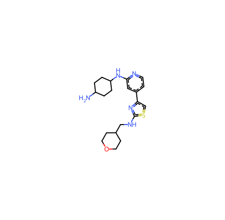 NC1CCC(Nc2cc(-c3csc(NCC4CCOCC4)n3)ccn2)CC1